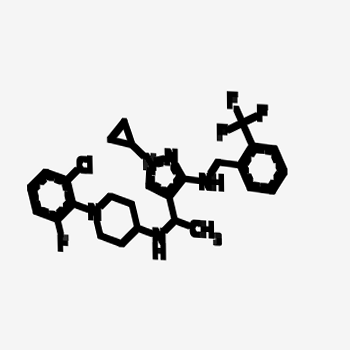 CC(NC1CCN(c2c(F)cccc2Cl)CC1)c1cn(C2CC2)nc1NCc1ccccc1C(F)(F)F